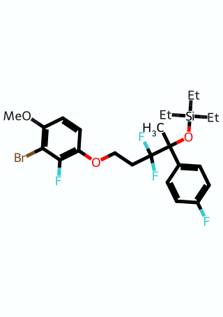 CC[Si](CC)(CC)OC(C)(c1ccc(F)cc1)C(F)(F)CCOc1ccc(OC)c(Br)c1F